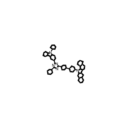 c1ccc(-c2nc(-c3ccc(-c4ccc(-n5c6cc7ccccc7cc6c6ccc7ccccc7c65)cc4)cc3)nc(-c3ccc4c(c3)c3ccccc3n4-c3ccccc3)n2)cc1